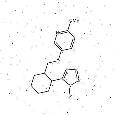 COc1ccc(OCC2CCCCC2c2ccnn2C(C)C)cn1